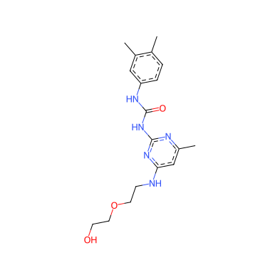 Cc1cc(NCCOCCO)nc(NC(=O)Nc2ccc(C)c(C)c2)n1